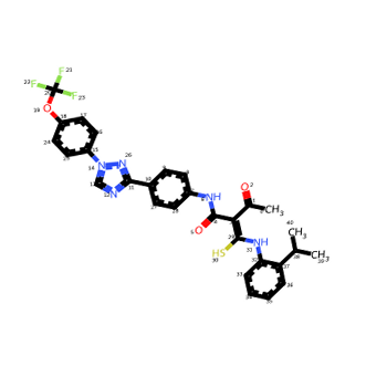 CC(=O)/C(C(=O)Nc1ccc(-c2ncn(-c3ccc(OC(F)(F)F)cc3)n2)cc1)=C(/S)Nc1ccccc1C(C)C